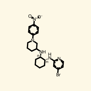 O=[N+]([O-])c1ccc(N2CCCC(N[C@@H]3CCCC[C@H]3Nc3cc(Br)ccn3)C2)cc1